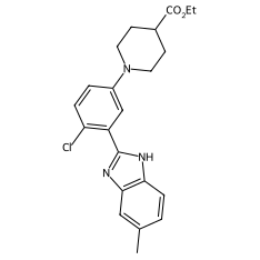 CCOC(=O)C1CCN(c2ccc(Cl)c(-c3nc4cc(C)ccc4[nH]3)c2)CC1